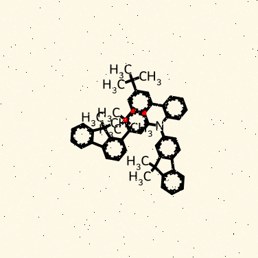 CC(C)(C)c1cc(-c2ccccc2N(c2cccc(-c3cccc4c3C(C)(C)c3ccccc3-4)c2)c2ccc3c(c2)C(C)(C)c2ccccc2-3)cc(C(C)(C)C)c1